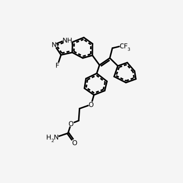 NC(=O)OCCOc1ccc(/C(=C(/CC(F)(F)F)c2ccccc2)c2ccc3[nH]nc(F)c3c2)cc1